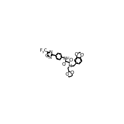 O=C(Nc1ccc(-c2noc(C(F)(F)F)n2)cc1)C(=O)N(Cc1ccc2c(c1)OCO2)CC1OCCO1